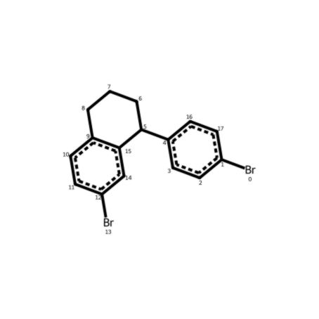 Brc1ccc(C2CCCc3ccc(Br)cc32)cc1